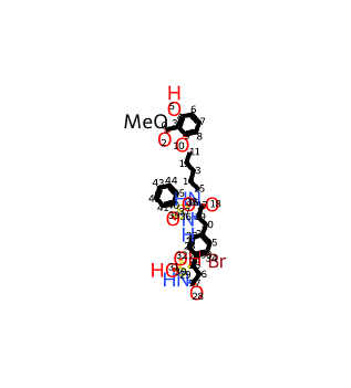 COC(=O)c1c(O)cccc1OCCCCCNC(=O)C(Cc1ccc(C2CC(=O)NS2(O)O)c(Br)c1)NS(=O)(=O)c1ccccc1